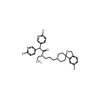 CCN(CCCN1CCC2(CC1)OCc1ccc(F)cc12)C(=O)C(c1ccc(F)nc1)c1ccc(F)nc1